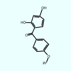 CC(C)Oc1ccc(C(=O)c2ccc(O)cc2O)cc1